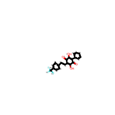 O=C1C(O)=C(c2ccccc2)C(=O)C(O)=C1C=Cc1ccc(C(F)(F)F)cc1